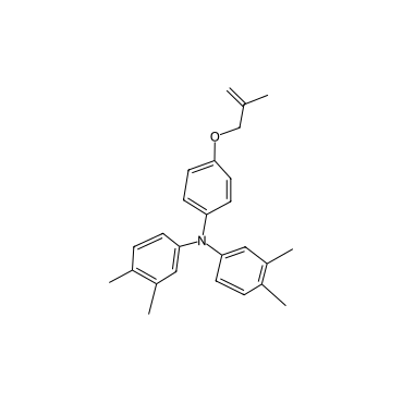 C=C(C)COc1ccc(N(c2ccc(C)c(C)c2)c2ccc(C)c(C)c2)cc1